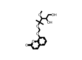 COC(C(O)CO)C(C)(C)OCOc1cccc2ccc(=O)oc12